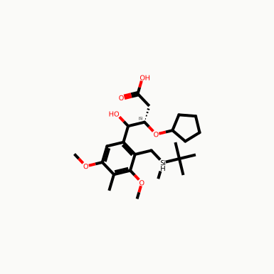 COc1cc(C(O)[C@H](CC(=O)O)OC2CCCC2)c(C[SiH](C)C(C)(C)C)c(OC)c1C